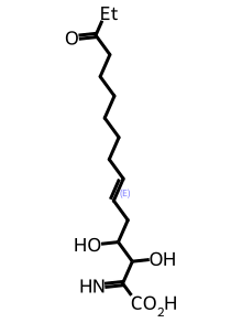 CCC(=O)CCCCCC/C=C/CC(O)C(O)C(=N)C(=O)O